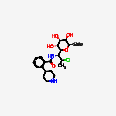 CS[C@H]1OC([C@@H](NC(=O)c2ccccc2C2CCNCC2)[C@H](C)Cl)[C@H](O)[C@H](O)[C@H]1O